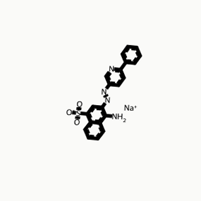 Nc1c(N=Nc2ccc(-c3ccccc3)nc2)cc(S(=O)(=O)[O-])c2ccccc12.[Na+]